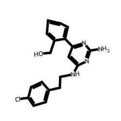 Nc1nc(NCCc2ccc(Cl)cc2)cc(-c2ccccc2CO)n1